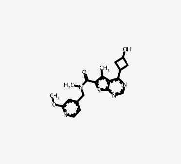 COc1cc(CN(C)C(=O)c2sc3ncnc(C4CC(O)C4)c3c2C)ccn1